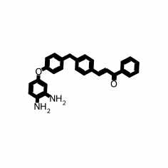 Nc1ccc(Oc2ccc(Cc3ccc(/C=C/C(=O)c4ccccc4)cc3)cc2)cc1N